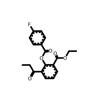 CCOC(=O)c1cccc(C(=O)CC)c1OC(=O)c1ccc(F)cc1